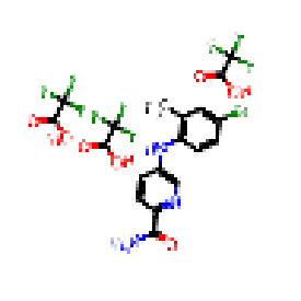 NC(=O)c1ccc(Nc2ccc(Br)cc2C(F)(F)F)cn1.O=C(O)C(F)(F)F.O=C(O)C(F)(F)F.O=C(O)C(F)(F)F